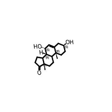 C[C@]12CC[C@H](O)CC1=C[C@@H](O)[C@@H]1C2CC[C@]2(C)C(=O)CCC12